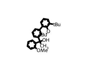 CCCCOc1c(-c2cccc(C(C)(O)c3ccccc3OC)c2)cccc1C(C)(C)C